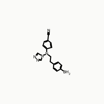 Bc1ccc(CCN(c2ccc(C#N)cc2)n2cnnc2)cc1